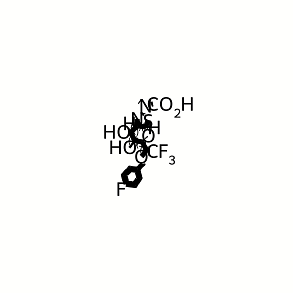 CN(C(=O)O)C1=N[C@@H]2[C@@H](O)[C@H](O)[C@@H]([C@@H](OCc3ccc(F)cc3)C(F)(F)F)O[C@@H]2S1